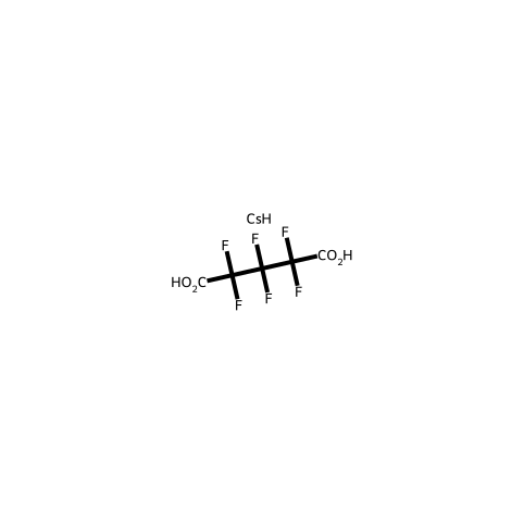 O=C(O)C(F)(F)C(F)(F)C(F)(F)C(=O)O.[CsH]